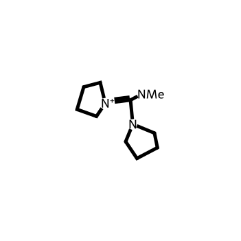 CNC(N1CCCC1)=[N+]1CCCC1